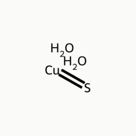 O.O.[S]=[Cu]